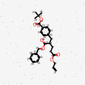 C=CCOC(=O)CCC(Cc1ccc(C(=O)OC(C)(C)C)cc1)C(=O)OCc1ccccc1